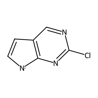 Clc1ncc2c(n1)[N]C=C2